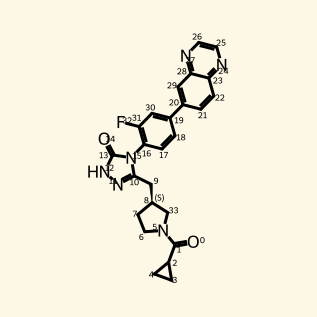 O=C(C1CC1)N1CC[C@@H](Cc2n[nH]c(=O)n2-c2ccc(-c3ccc4nccnc4c3)cc2F)C1